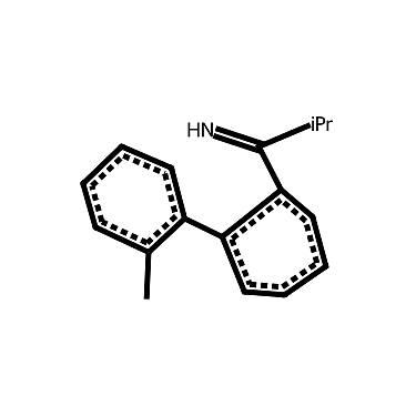 Cc1ccccc1-c1ccccc1C(=N)C(C)C